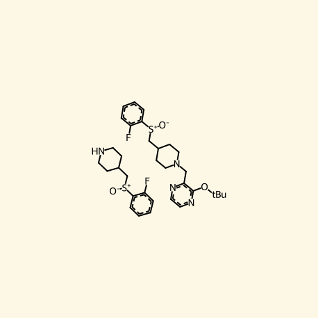 CC(C)(C)Oc1nccnc1CN1CCC(C[S+]([O-])c2ccccc2F)CC1.[O-][S+](CC1CCNCC1)c1ccccc1F